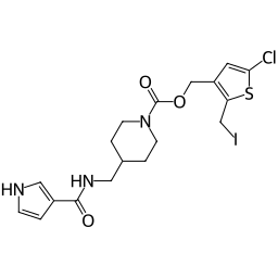 O=C(NCC1CCN(C(=O)OCc2cc(Cl)sc2CI)CC1)c1cc[nH]c1